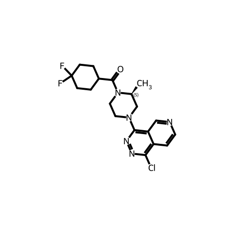 C[C@H]1CN(c2nnc(Cl)c3ccncc23)CCN1C(=O)C1CCC(F)(F)CC1